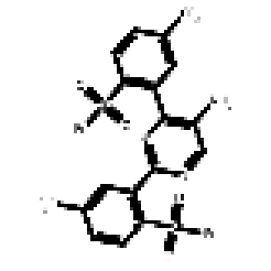 CC(C)S(=O)(=O)c1ccc(C(F)(F)F)cc1-c1ncc(N)c(-c2cc(C(F)(F)F)ccc2S(=O)(=O)C(C)C)n1